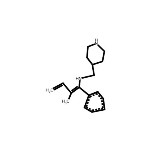 C=C/C(C)=C(\NCC1CCNCC1)c1ccccc1